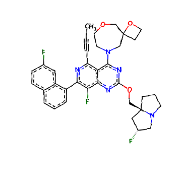 CC#Cc1nc(-c2cccc3ccc(F)cc23)c(F)c2nc(OC[C@@]34CCCN3C[C@H](F)C4)nc(N3CCOCC4(CCO4)C3)c12